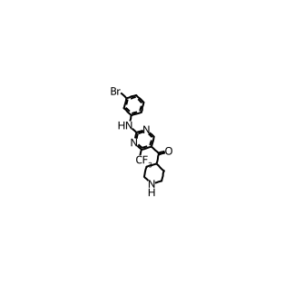 O=C(c1cnc(Nc2cccc(Br)c2)nc1C(F)(F)F)C1CCNCC1